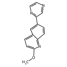 COc1ccc2cc(-c3cnccn3)ccc2n1